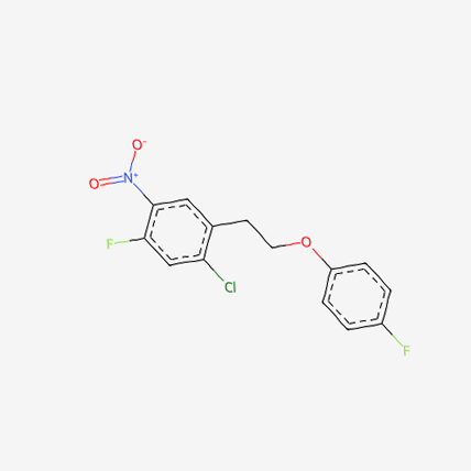 O=[N+]([O-])c1cc(CCOc2ccc(F)cc2)c(Cl)cc1F